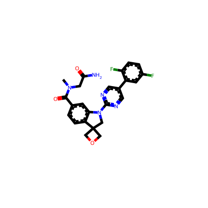 CN(CC(N)=O)C(=O)c1ccc2c(c1)N(c1ncc(-c3cc(F)ccc3F)cn1)CC21COC1